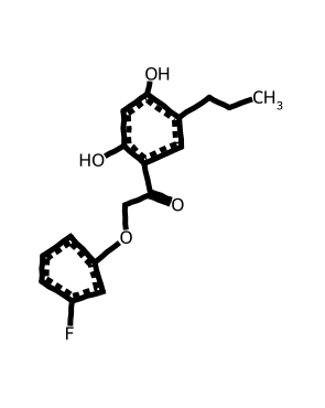 CCCc1cc(C(=O)COc2cccc(F)c2)c(O)cc1O